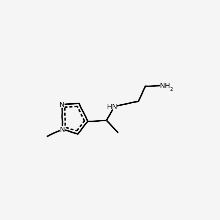 CC(NCCN)c1cnn(C)c1